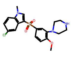 COc1ccc(S(=O)(=O)c2cn(C)c3ccc(Cl)cc23)cc1N1CCNCC1